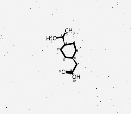 CC(C)[C@H]1CC[C@@H](CC(=O)O)CC1